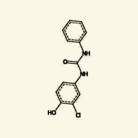 O=C(Nc1ccccc1)Nc1ccc(O)c(Cl)c1